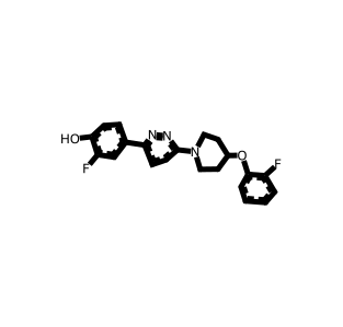 Oc1ccc(-c2ccc(N3CCC(Oc4ccccc4F)CC3)nn2)cc1F